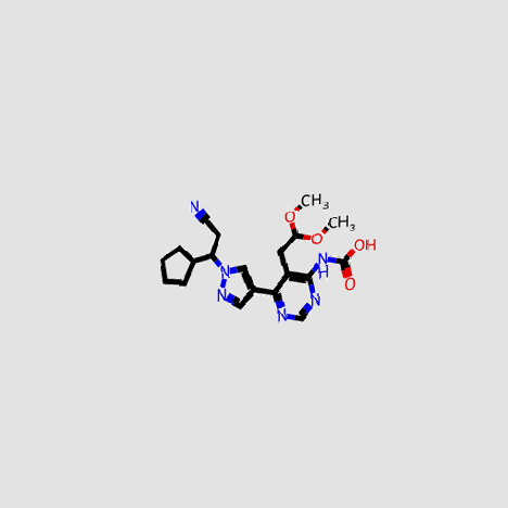 COC(Cc1c(NC(=O)O)ncnc1-c1cnn(C(CC#N)C2CCCC2)c1)OC